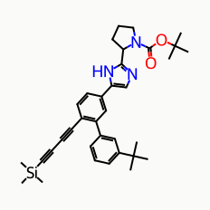 CC(C)(C)OC(=O)N1CCCC1c1ncc(-c2ccc(C#CC#C[Si](C)(C)C)c(-c3cccc(C(C)(C)C)c3)c2)[nH]1